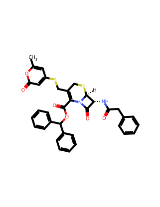 Cc1cc(SCC2=C(C(=O)OC(c3ccccc3)c3ccccc3)N3C(=O)[C@@H](NC(=O)Cc4ccccc4)[C@@H]3SC2)cc(=O)o1